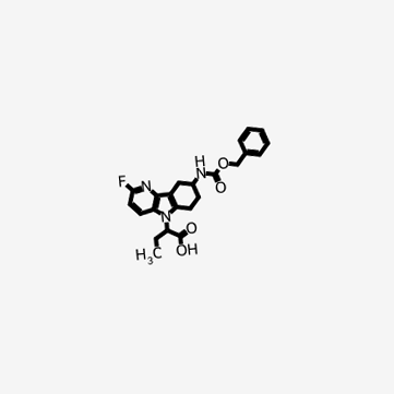 CCC(C(=O)O)n1c2c(c3nc(F)ccc31)CC(NC(=O)OCc1ccccc1)CC2